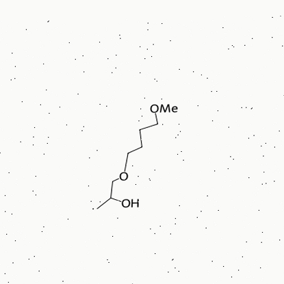 [CH2]C(O)COCCCCOC